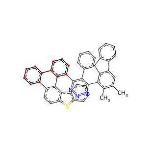 Cc1cc2c(c(-c3nnnc(-c4cccc(-c5ccccc5)c4-c4c(-c5ccccc5-c5ccccc5)ccc5sc6ccccc6c45)c3-c3ccccc3)c1C)Cc1ccccc1-2